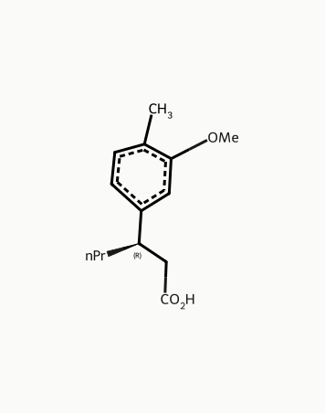 CCC[C@H](CC(=O)O)c1ccc(C)c(OC)c1